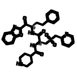 O=C(N[C@@H](CS(=O)(=O)Cc1ccccn1)C(=O)N[C@@H](CCc1ccccc1)C(=O)c1nc2ccccc2o1)C1CCNCC1